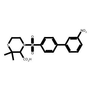 CC1(C)SCCN(S(=O)(=O)c2ccc(-c3cccc([N+](=O)[O-])c3)cc2)C1C(=O)O